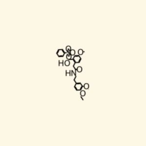 CCOc1ccc(CCNC(=O)Cc2ccc(OC)c(OS(=O)(=O)c3ccccc3)c2CO)cc1OC